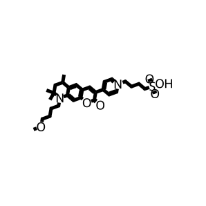 COCCCCN1c2cc3oc(=O)c(-c4cc[n+](CCCCS(=O)(=O)O)cc4)cc3cc2C(C)CC1(C)C